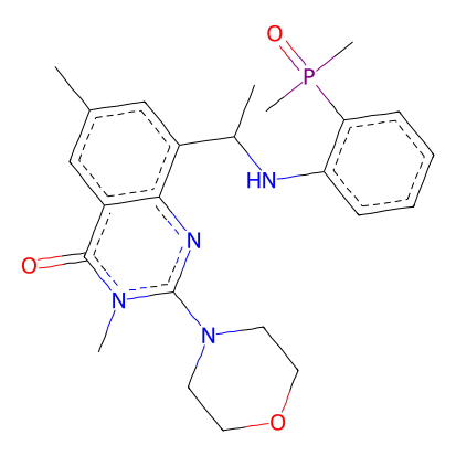 Cc1cc(C(C)Nc2ccccc2P(C)(C)=O)c2nc(N3CCOCC3)n(C)c(=O)c2c1